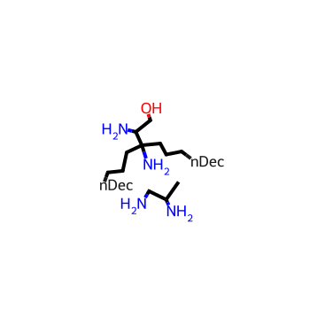 CC(N)CN.CCCCCCCCCCCCCC(N)(CCCCCCCCCCCCC)C(N)CO